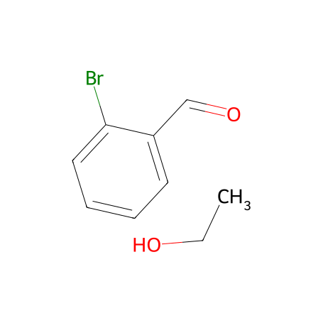 CCO.O=Cc1ccccc1Br